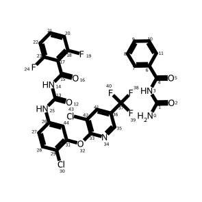 NC(=O)NC(=O)c1ccccc1.O=C(NC(=O)c1c(F)cccc1F)Nc1ccc(Cl)c(Oc2ncc(C(F)(F)F)cc2Cl)c1